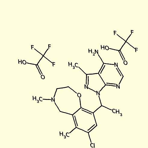 Cc1c(Cl)cc(C(C)n2nc(C)c3c(N)ncnc32)c2c1CN(C)CCO2.O=C(O)C(F)(F)F.O=C(O)C(F)(F)F